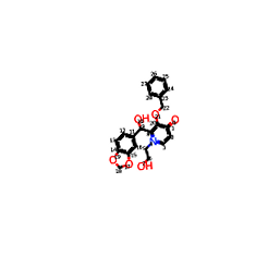 O=c1ccn(CCO)c(C(O)c2ccc3c(c2)OCO3)c1OCc1ccccc1